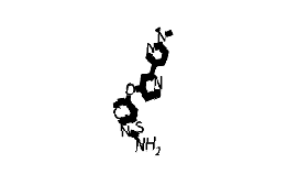 CN(C)c1ccc(-c2cc(Oc3ccc4nc(N)sc4c3)ccn2)cn1